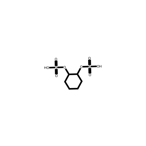 O=S(=O)(O)OC1CCCCC1OS(=O)(=O)O